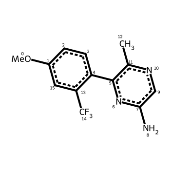 COc1ccc(-c2nc(N)cnc2C)c(C(F)(F)F)c1